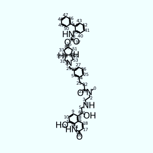 CN(CCNC[C@H](O)c1ccc(O)c2[nH]c(=O)ccc12)C(=O)CCc1cccc(CN2C[C@H]3C[C@H](OC(=O)Nc4ccccc4-c4ccccc4)C[C@H]3C2)c1